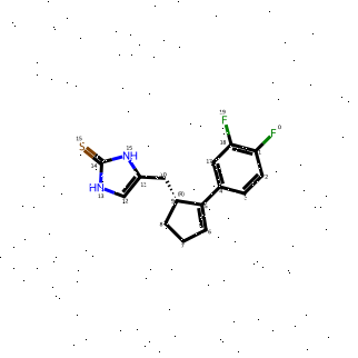 Fc1ccc(C2=CCC[C@@H]2Cc2c[nH]c(=S)[nH]2)cc1F